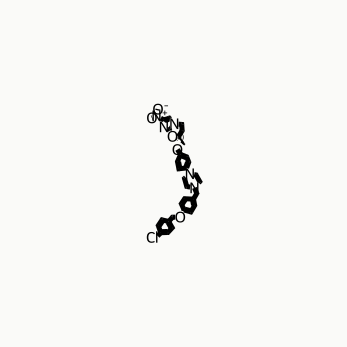 O=[N+]([O-])c1cn2c(n1)O[C@H](COc1ccc(N3CCN(Cc4ccc(OCc5ccc(Cl)cc5)cc4)CC3)cc1)CC2